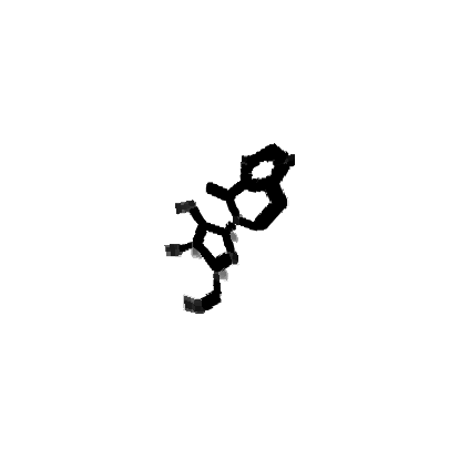 C=C1c2scnc2C=CN1[C@@H]1O[C@H](CO)[C@H](O)C1O